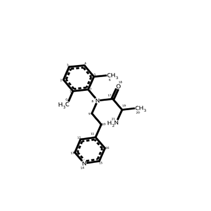 Cc1cccc(C)c1N(CCc1ccncc1)C(=O)C(C)N